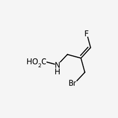 O=C(O)NC/C(=C\F)CBr